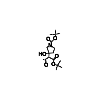 CC(C)(C)OC(=O)C([C]=O)C1(O)CCN(C(=O)OC(C)(C)C)C1